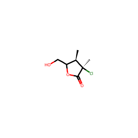 C[C@@H]1C(CO)OC(=O)[C@]1(C)Cl